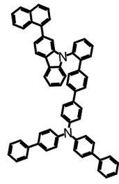 c1ccc(-c2ccc(N(c3ccc(-c4ccccc4)cc3)c3ccc(-c4ccc(-c5ccccc5-n5c6ccccc6c6ccc(-c7cccc8ccccc78)cc65)cc4)cc3)cc2)cc1